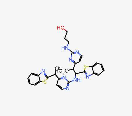 N#CC(c1ccnc(NC(c2nc3ccccc3s2)C(C(=O)O)c2ccnc(NCCCO)n2)n1)c1nc2ccccc2s1